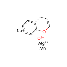 C1=COc2ccccc2C1.[Cu].[Mg+2].[Mn].[O-2]